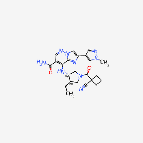 CC[C@@H]1CN(C(=O)C2(C#N)CCC2)C[C@H]1Nc1c(C(N)=O)cnn2cc(-c3cnn(C)c3)nc12